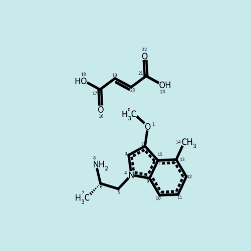 COc1cn(C[C@H](C)N)c2cccc(C)c12.O=C(O)/C=C/C(=O)O